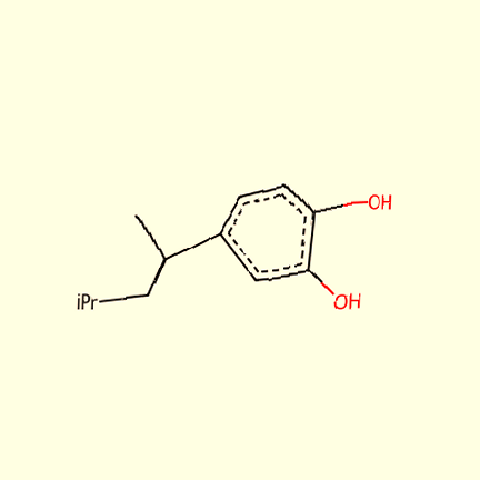 CC(C)CC(C)c1ccc(O)c(O)c1